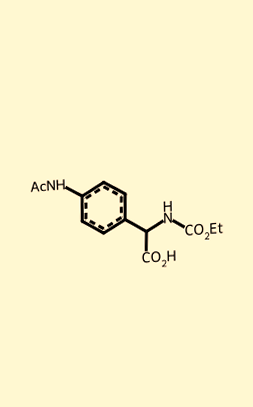 CCOC(=O)NC(C(=O)O)c1ccc(NC(C)=O)cc1